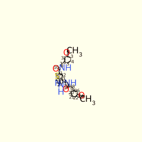 COc1cccc(CNC(=O)c2cc3c(NC(=O)Cc4cccc(OC)c4)[nH]nc3s2)c1